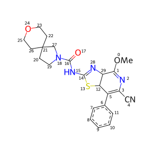 COC1=NC(C#N)=C(c2ccccc2)C2SC(NC(=O)N3CCC4(CCOCC4)C3)=NC12